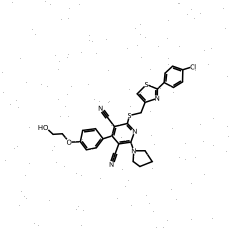 N#Cc1c(SCc2csc(-c3ccc(Cl)cc3)n2)nc(N2CCCC2)c(C#N)c1-c1ccc(OCCO)cc1